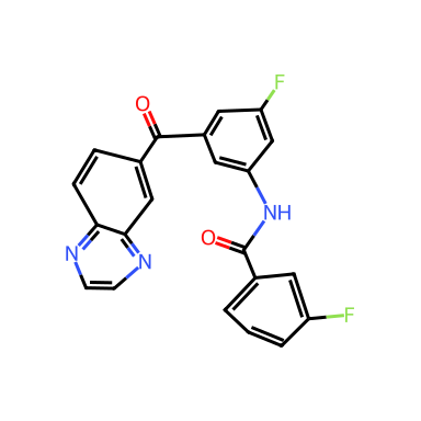 O=C(Nc1cc(F)cc(C(=O)c2ccc3nccnc3c2)c1)c1cccc(F)c1